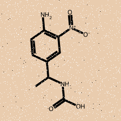 CC(NC(=O)O)c1ccc(N)c([N+](=O)[O-])c1